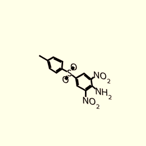 Cc1ccc(S(=O)(=O)c2cc([N+](=O)[O-])c(N)c([N+](=O)[O-])c2)cc1